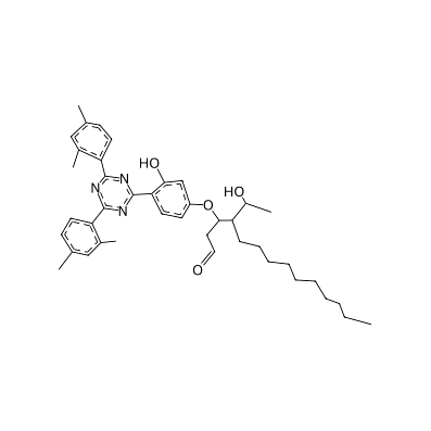 CCCCCCCCCCC(C(C)O)C(CC=O)Oc1ccc(-c2nc(-c3ccc(C)cc3C)nc(-c3ccc(C)cc3C)n2)c(O)c1